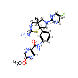 COc1cnc(C(=O)Nc2cccc([C@]34CN(c5ncc(F)cn5)C[C@@H]3CN=C(N)S4)c2)cn1